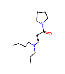 CCCCN(/C=C/C(=O)N1CCCC1)CCC